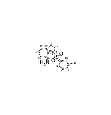 Cc1[c]ccc(S(=O)(=O)N2CCc3cccc(N)c32)c1